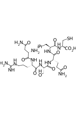 CC(C)C[C@H](NC(=O)[C@H](CCC(N)=O)NC(=O)[C@H](CO)NC(=O)[C@H](CCCNC(=N)N)NC(=O)[C@@H](N)CC(N)=O)C(=O)N[C@@H](CS)C(=O)O